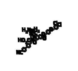 Cc1nc(N)sc1CN1Cc2cc3c(cc2C[C@H]1C(=O)N[C@@H](Cc1ccc(-c2ccc(C#N)cc2)cc1)C(=O)O)OCC(c1ccc(OCc2ccc(Cl)c(Cl)c2)cc1)O3